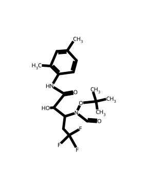 Cc1ccc(NC(=O)C(O)C(CC(F)(F)F)N(C=O)OC(C)(C)C)c(C)c1